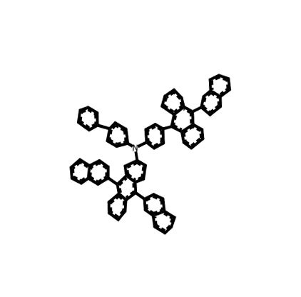 c1ccc(-c2ccc(N(c3ccc(-c4c5ccccc5c(-c5ccc6ccccc6c5)c5ccccc45)cc3)c3ccc4c(-c5ccc6ccccc6c5)c5ccccc5c(-c5ccc6ccccc6c5)c4c3)cc2)cc1